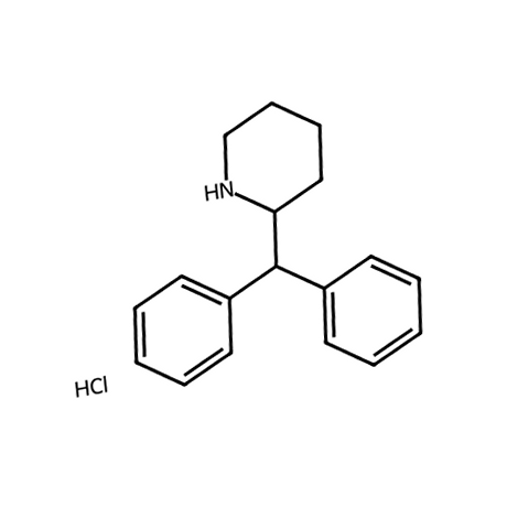 Cl.c1ccc(C(c2ccccc2)C2CCCCN2)cc1